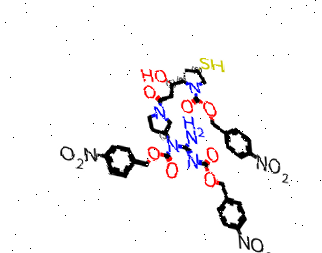 NC(=NC(=O)OCc1ccc([N+](=O)[O-])cc1)N(C(=O)OCc1ccc([N+](=O)[O-])cc1)[C@H]1CCN(C(=O)C[C@H](O)[C@@H]2C[C@H](S)CN2C(=O)OCc2ccc([N+](=O)[O-])cc2)C1